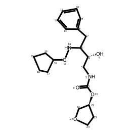 O=C(NC[C@@H](O)C(Cc1ccccc1)NOC1CCCC1)O[C@H]1CCOC1